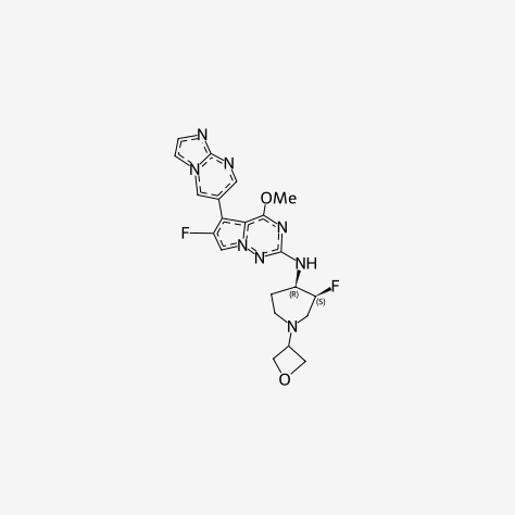 COc1nc(N[C@@H]2CCN(C3COC3)C[C@@H]2F)nn2cc(F)c(-c3cnc4nccn4c3)c12